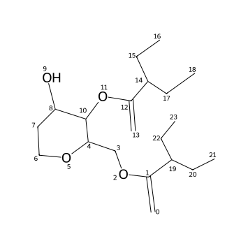 C=C(OCC1OCCC(O)C1OC(=C)C(CC)CC)C(CC)CC